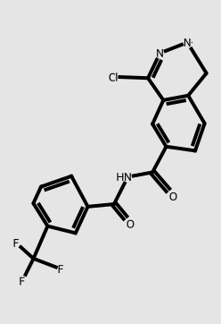 O=C(NC(=O)c1ccc2c(c1)C(Cl)=N[N]C2)c1cccc(C(F)(F)F)c1